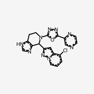 Clc1cccn2nc(C3c4nc[nH]c4CCN3c3nnc(-c4cnccn4)o3)cc12